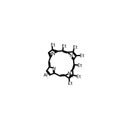 CCC1=C(CC)c2nc1c(CC)c1[nH]c(cc3nc(cc4c(CC)c(CC)c(c2CC)n4CC)C=C3)cc1CC.[Al]